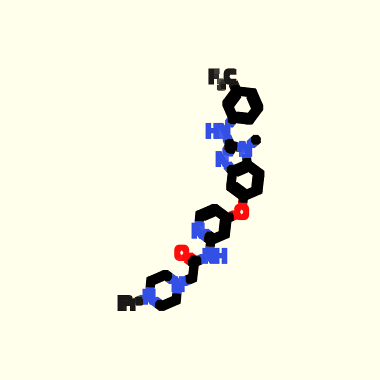 CC(C)N1CCN(CC(=O)Nc2cc(Oc3ccc4c(c3)nc(Nc3cccc(C(F)(F)F)c3)n4C)ccn2)CC1